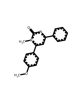 COc1ccc(-c2cc(-c3ccccc3)nc(=O)n2C)cc1